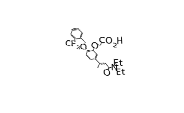 CCN(CC)C(=O)C=C(C)c1ccc(OCc2ccccc2C(F)(F)F)c(OCC(=O)O)c1